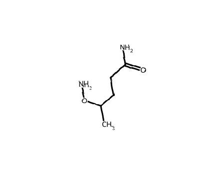 CC(CCC(N)=O)ON